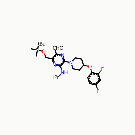 CC(C)Nc1nc(CO[Si](C)(C)C(C)(C)C)c(C=O)nc1N1CCC(Oc2ccc(F)cc2F)CC1